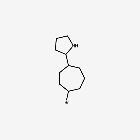 BrC1CCCC(C2CCCN2)CC1